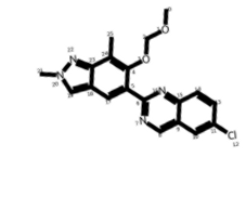 COCOc1c(-c2ncc3cc(Cl)ccc3n2)cc2cn(C)nc2c1C